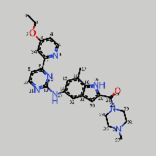 CCOc1ccnc(-c2ccnc(Nc3cc(C)c4[nH]c(C(=O)N5CCN(C)CC5)cc4c3)n2)c1